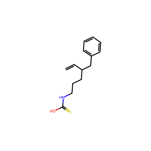 C=CC(CCCNC(O)=S)Cc1ccccc1